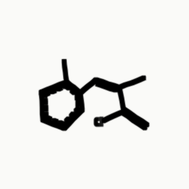 C=C(Cl)/C(C)=C\c1ccccc1C